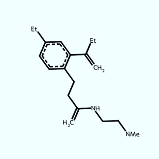 C=C(CCc1ccc(CC)cc1C(=C)CC)NCCNC